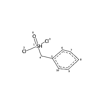 O=[SH](Cl)(Cl)Cc1ccccc1